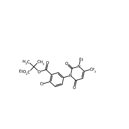 CCOC(=O)C(C)(C)OC(=O)c1cc(-n2c(=O)cc(C(F)(F)F)n(CC)c2=O)ccc1Cl